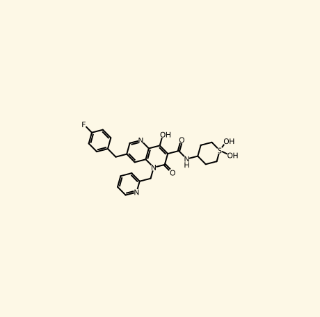 O=C(NC1CCS(O)(O)CC1)c1c(O)c2ncc(Cc3ccc(F)cc3)cc2n(Cc2ccccn2)c1=O